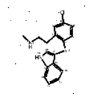 CNCCc1cc(Cl)ccc1Sc1c[nH]c2ccccc12